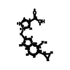 O=C(O)c1cnn(Cc2cn3c(F)c(C4CC4)ccc3n2)c1